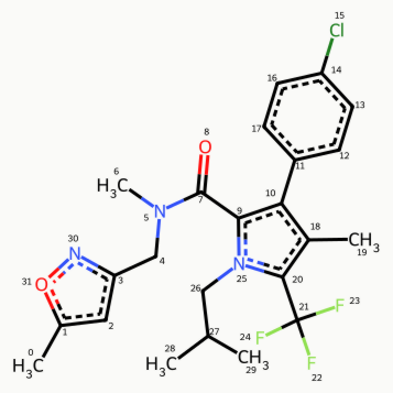 Cc1cc(CN(C)C(=O)c2c(-c3ccc(Cl)cc3)c(C)c(C(F)(F)F)n2CC(C)C)no1